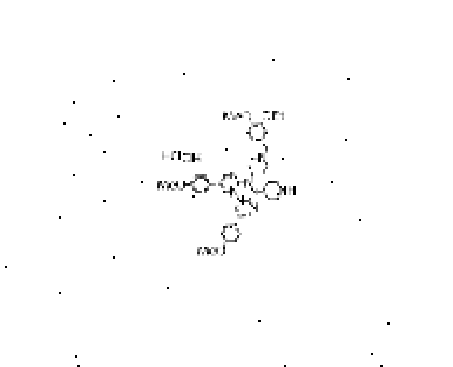 CCOc1cc(CN2CCC(N(c3ncc(-c4ccc(OC)cc4)cn3)N(c3ncc(-c4ccc(OC)cc4)cn3)C3CCNCC3)CC2)ccc1OC.Cl.Cl